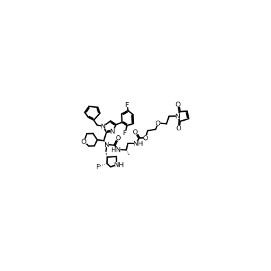 C[C@@H](CNC(=O)OCCOCCN1C(=O)C=CC1=O)NC(=O)N(C[C@@H]1CNC[C@@H]1F)[C@@H](c1nc(-c2cc(F)ccc2F)cn1Cc1ccccc1)C1CCOCC1